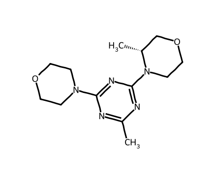 Cc1nc(N2CCOCC2)nc(N2CCOC[C@H]2C)n1